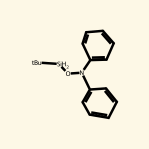 CC(C)(C)[SiH2]ON(c1ccccc1)c1ccccc1